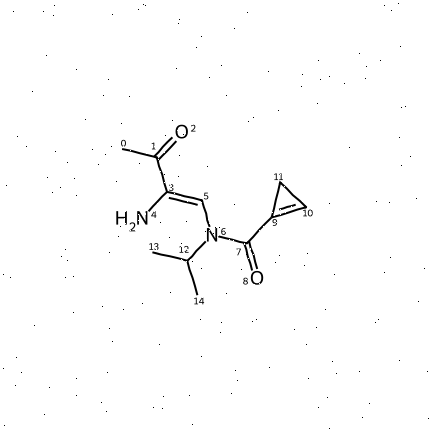 CC(=O)/C(N)=C/N(C(=O)C1=CC1)C(C)C